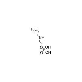 O=P(O)(O)OCCNCCC(F)(F)F